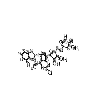 CN(c1nc(Cl)nc2c1nnn2[C@@H]1O[C@H](COC(=O)CP(=O)(O)O)[C@@H](O)[C@H]1O)[C@H]1CCc2ccccc21